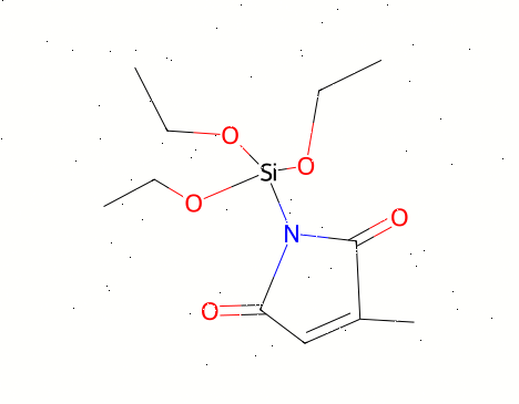 CCO[Si](OCC)(OCC)N1C(=O)C=C(C)C1=O